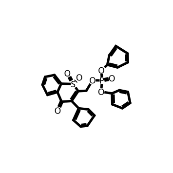 O=C1C(c2ccccc2)=C(COP(=O)(Oc2ccccc2)Oc2ccccc2)S(=O)(=O)c2ccccc21